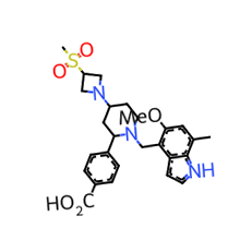 COc1cc(C)c2[nH]ccc2c1CN1CCC(N2CC(S(C)(=O)=O)C2)CC1c1ccc(C(=O)O)cc1